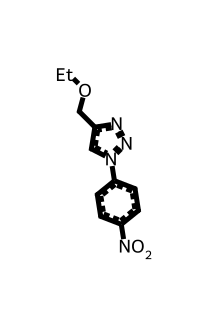 CCOCc1cn(-c2ccc([N+](=O)[O-])cc2)nn1